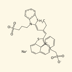 CCC(=CC1=[N+](CCCS(=O)(=O)[O-])C23C(=CC=C4C=CC=CC42)C=CC=C3S1)C=C1Sc2ccccc2N1CCCS(=O)(=O)[O-].[Na+]